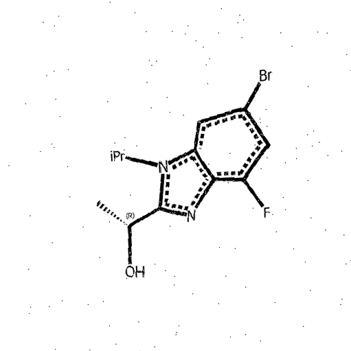 CC(C)n1c([C@@H](C)O)nc2c(F)cc(Br)cc21